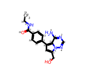 Nc1ncnn2c(CO)cc(-c3ccc(C(=O)NCC(F)(F)F)cc3)c12